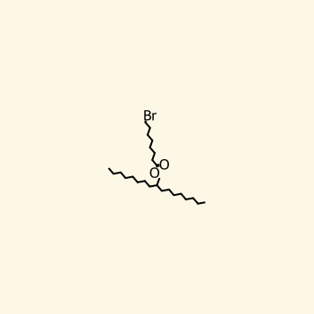 CCCCCCCCC(CCCCCCCC)COC(=O)CCCCCCCBr